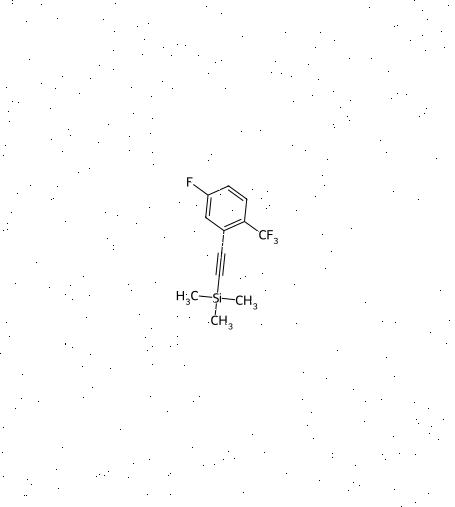 C[Si](C)(C)C#Cc1cc(F)ccc1C(F)(F)F